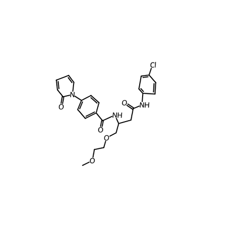 COCCOCC(CC(=O)Nc1ccc(Cl)cc1)NC(=O)c1ccc(-n2ccccc2=O)cc1